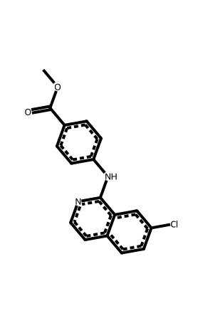 COC(=O)c1ccc(Nc2nccc3ccc(Cl)cc23)cc1